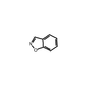 [c]1noc2[c]cccc12